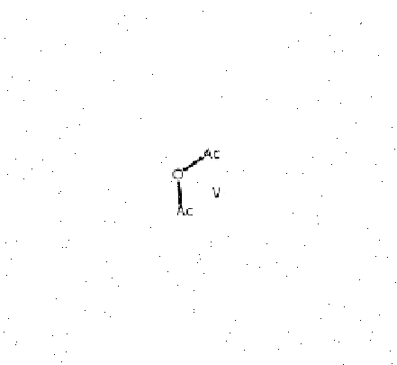 CC(=O)OC(C)=O.[V]